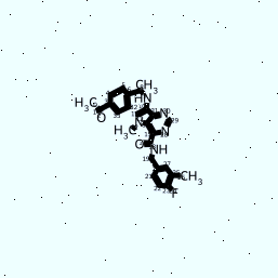 CC(=O)c1ccc(C(C)Nc2cn(C)c3c(C(=O)NCc4ccc(F)c(C)c4)ncnc23)cc1